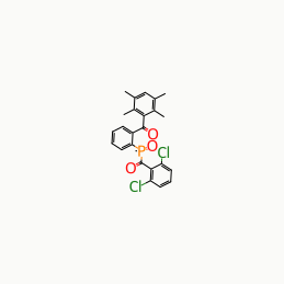 Cc1cc(C)c(C)c(C(=O)c2ccccc2[P](=O)C(=O)c2c(Cl)cccc2Cl)c1C